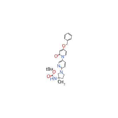 CC1(NC(=O)OC(C)(C)C)CCN(c2ccc(-n3ccc(OCc4ccccc4)cc3=O)cn2)C1